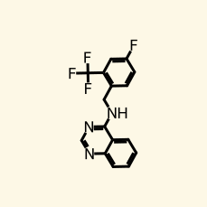 Fc1ccc(CNc2ncnc3ccccc23)c(C(F)(F)F)c1